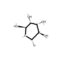 C[C@@H]1O[C@@H](O)[C@H](O)[C@H](O)[C@H]1O